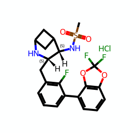 CS(=O)(=O)N[C@H]1C2CC(C2)N[C@H]1Cc1cccc(-c2cccc3c2OC(F)(F)O3)c1F.Cl